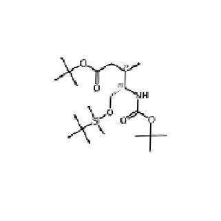 C[C@H](CC(=O)OC(C)(C)C)[C@@H](CO[Si](C)(C)C(C)(C)C)NC(=O)OC(C)(C)C